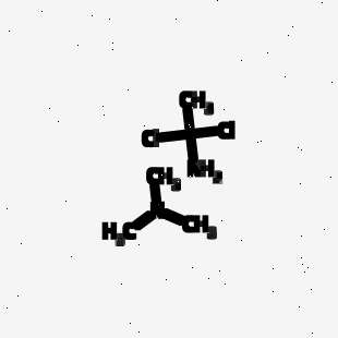 CC(N)(Cl)Cl.CN(C)C